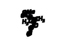 COC(=O)/C=C/c1ccc(CN2[C@H](C)CN(C(=O)c3cccc(CN4CCCC4)c3)C[C@@H]2C)cc1